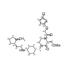 COC[C@H]1C(=O)N(C[C@H]2CC[C@@H](NCC[C@H]3CCCN3C)CC2)CCN1C(=O)COc1ccc(Cl)s1